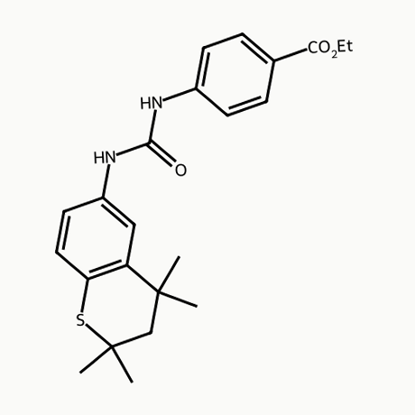 CCOC(=O)c1ccc(NC(=O)Nc2ccc3c(c2)C(C)(C)CC(C)(C)S3)cc1